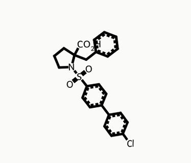 O=C(O)C1(Cc2ccccc2)CCCN1S(=O)(=O)c1ccc(-c2ccc(Cl)cc2)cc1